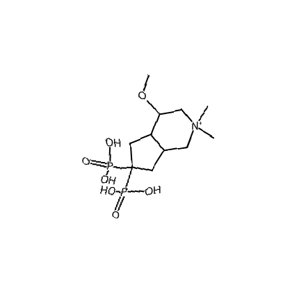 COC1C[N+](C)(C)CC2CC(P(=O)(O)O)(P(=O)(O)O)CC21